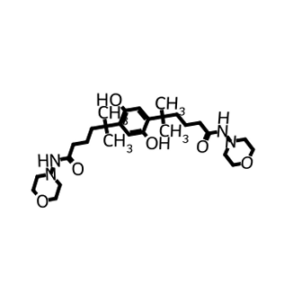 CC(C)(CCCC(=O)NN1CCOCC1)c1cc(O)c(C(C)(C)CCCC(=O)NN2CCOCC2)cc1O